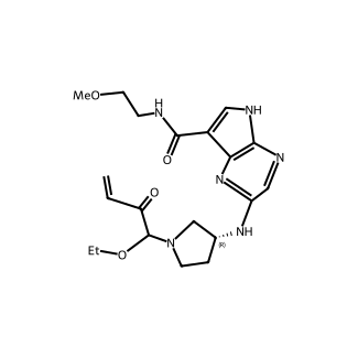 C=CC(=O)C(OCC)N1CC[C@@H](Nc2cnc3[nH]cc(C(=O)NCCOC)c3n2)C1